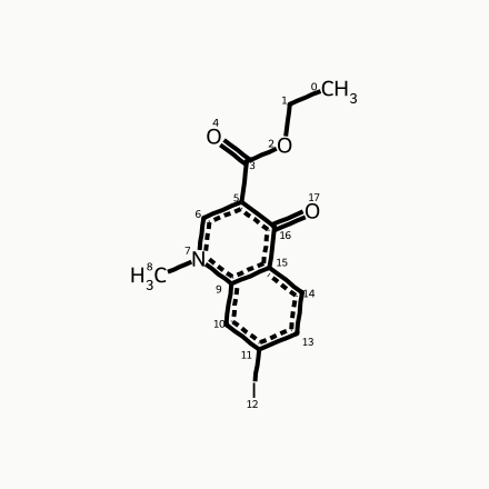 CCOC(=O)c1cn(C)c2cc(I)ccc2c1=O